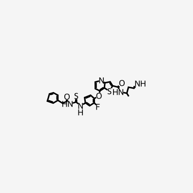 CC(CC=N)NC(=O)c1cc2nccc(Oc3ccc(NC(=S)NC(=O)Cc4ccccc4)cc3F)c2s1